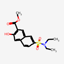 CCN(CC)S(=O)(=O)c1ccc2cc(O)c(C(=O)OC)cc2c1